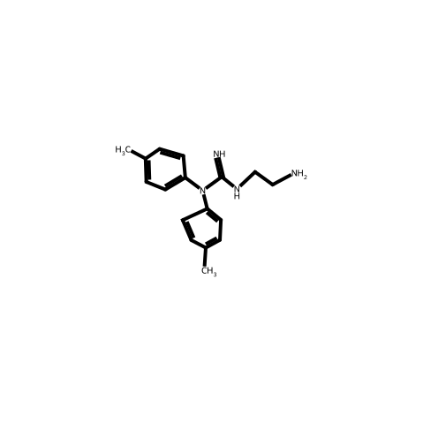 Cc1ccc(N(C(=N)NCCN)c2ccc(C)cc2)cc1